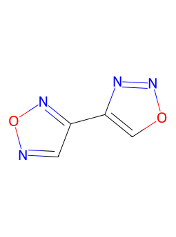 c1onnc1-c1cnon1